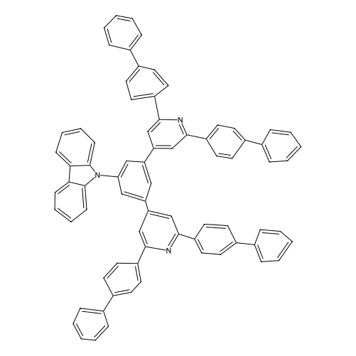 c1ccc(-c2ccc(-c3cc(-c4cc(-c5cc(-c6ccc(-c7ccccc7)cc6)nc(-c6ccc(-c7ccccc7)cc6)c5)cc(-n5c6ccccc6c6ccccc65)c4)cc(-c4ccc(-c5ccccc5)cc4)n3)cc2)cc1